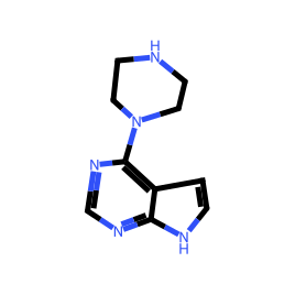 c1nc(N2CCNCC2)c2cc[nH]c2n1